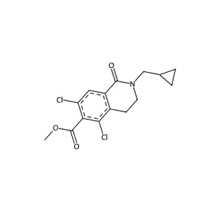 COC(=O)c1c(Cl)cc2c(c1Cl)CCN(CC1CC1)C2=O